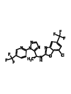 C[C@H](Nc1nc2cc(C(F)(F)F)cc(Cl)c2o1)c1ncnn1-c1ccc(C(F)(F)F)cn1